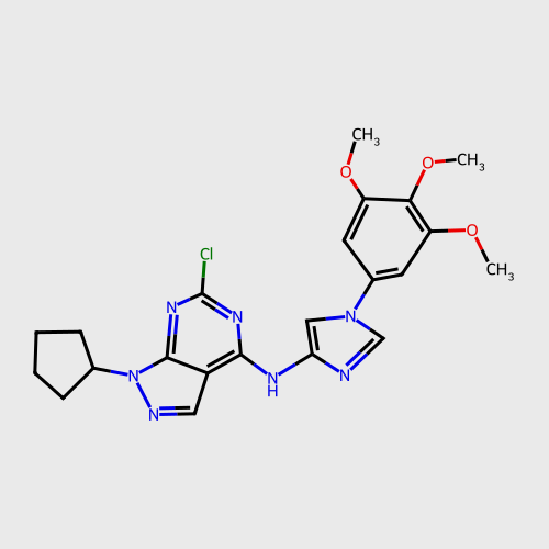 COc1cc(-n2cnc(Nc3nc(Cl)nc4c3cnn4C3CCCC3)c2)cc(OC)c1OC